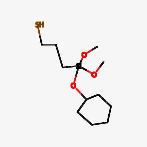 CO[Si](CCCS)(OC)OC1CCCCC1